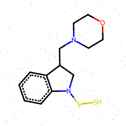 SSN1CC(CN2CCOCC2)c2ccccc21